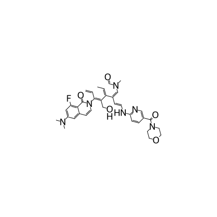 C=C\C(=C(CO)/C(=C\C)C(=C\N(C)C=O)/C=C/Nc1ccc(C(=O)N2CCOCC2)cn1)n1ccc2cc(N(C)C)cc(F)c2c1=O